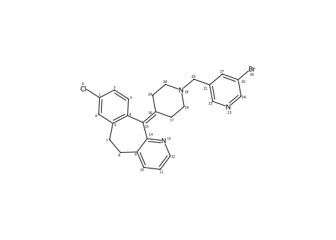 Clc1ccc2c(c1)CCc1cccnc1C2=C1CCN(Cc2cncc(Br)c2)CC1